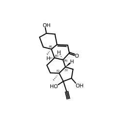 C#CC1(O)C(O)C[C@H]2[C@@H]3C(=O)C=C4CC(O)CC[C@]4(C)[C@@H]3CC[C@@]21C